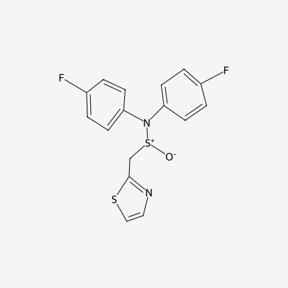 [O-][S+](Cc1nccs1)N(c1ccc(F)cc1)c1ccc(F)cc1